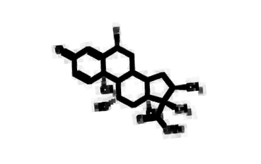 COC(=O)[C@@]1(C)[C@H](C)CC2C3C[C@H](F)C4=CC(=O)C=C[C@]4(C)C3[C@@H](O)C[C@@]21C